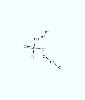 O=P([O-])([O-])O.[Cl][Ca][Cl].[K+].[K+]